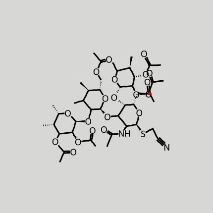 CC(=O)NC1C(O[C@@H]2O[C@@H](COC(C)=O)[C@H](C)C(C)C2O[C@@H]2O[C@@H](C)[C@@H](C)C(OC(C)=O)C2OC(C)=O)[C@H](O[C@@H]2OC(C)[C@@H](C)[C@H](OC(C)=O)C2OC(C)=O)[C@H](COC(C)=O)O[C@H]1SCC#N